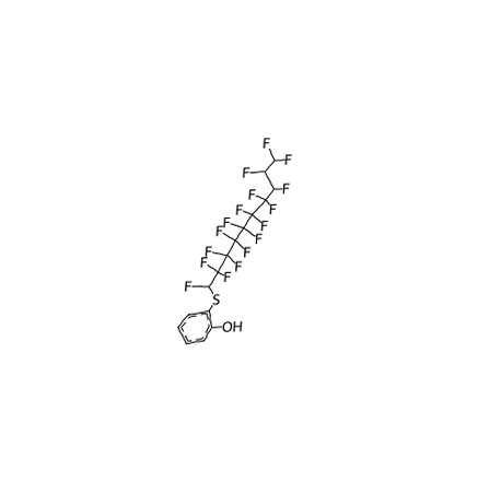 Oc1ccccc1SC(F)C(F)(F)C(F)(F)C(F)(F)C(F)(F)C(F)(F)C(F)(F)C(F)C(F)C(F)F